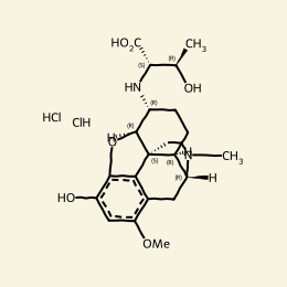 COc1cc(O)c2c3c1C[C@@H]1[C@@H]4CC[C@@H](N[C@H](C(=O)O)[C@@H](C)O)[C@H](O2)[C@]34CCN1C.Cl.Cl